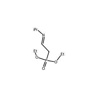 CCOP(=O)(CC=NC(C)C)OCC